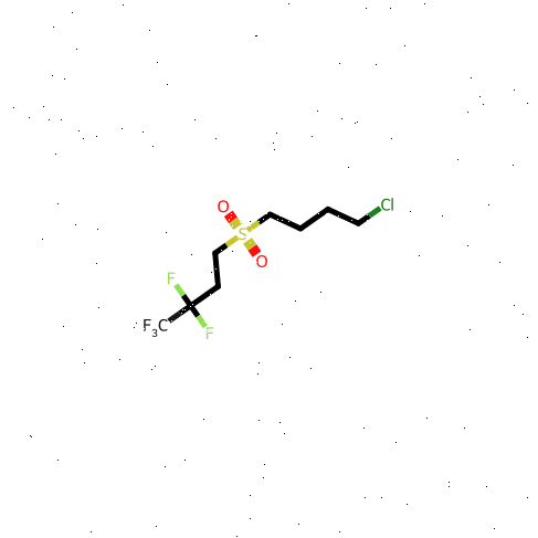 O=S(=O)(CCCCCl)CCC(F)(F)C(F)(F)F